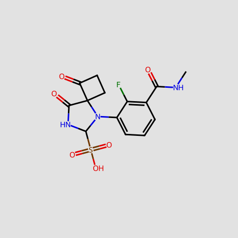 CNC(=O)c1cccc(N2C(S(=O)(=O)O)NC(=O)C23CCC3=O)c1F